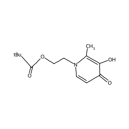 Cc1c(O)c(=O)ccn1CCOC(=O)C(C)(C)C